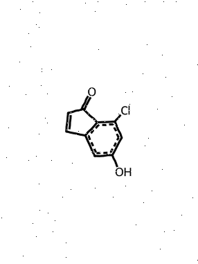 O=C1C=Cc2cc(O)cc(Cl)c21